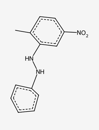 Cc1ccc([N+](=O)[O-])cc1NNc1ccccc1